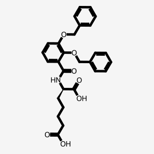 O=C(O)CCCC[C@@H](NC(=O)c1cccc(OCc2ccccc2)c1OCc1ccccc1)C(=O)O